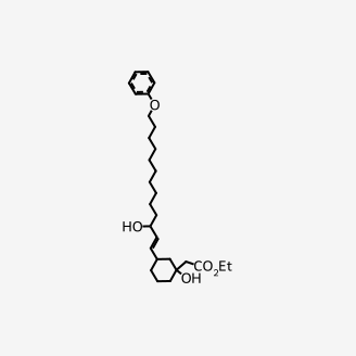 CCOC(=O)CC1(O)CCCC(/C=C/C(O)CCCCCCCCCCOc2ccccc2)C1